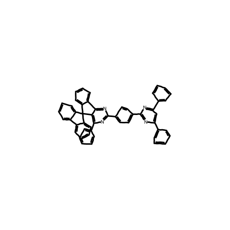 c1ccc(-c2cc(-c3ccccc3)nc(-c3ccc(-c4nc(-c5ccccc5)c5c(n4)-c4ccccc4C54c5ccccc5-c5ccccc54)cc3)n2)cc1